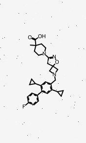 CC1(C(=O)O)CCN(C2=NOC3(C2)CN(Cc2cc(C4CC4)c(-c4ccc(F)cc4)cc2C2CC2)C3)CC1